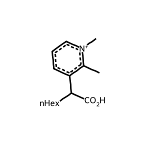 CCCCCCC(C(=O)O)c1ccc[n+](C)c1C